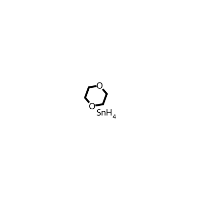 C1COCCO1.[SnH4]